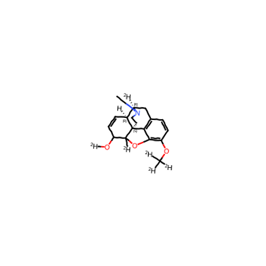 [2H]OC1C=C[C@H]2[C@@]3([2H])Cc4ccc(OC([2H])([2H])[2H])c5c4[C@@]2(CCN3C)C1([2H])O5